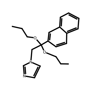 CCCOC(Cn1ccnc1)(OCCC)c1ccc2ccccc2c1